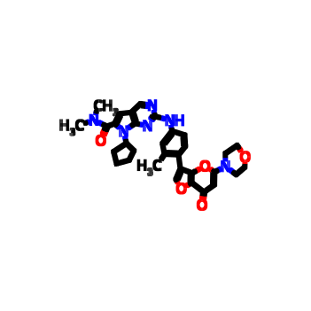 Cc1cc(Nc2ncc3cc(C(=O)N(C)C)n(C4CCCC4)c3n2)ccc1-c1coc2c(=O)cc(N3CCOCC3)oc12